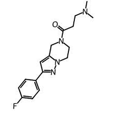 CN(C)CCC(=O)N1CCn2nc(-c3ccc(F)cc3)cc2C1